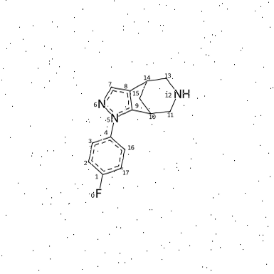 Fc1ccc(-n2ncc3c2C2CNCC3C2)cc1